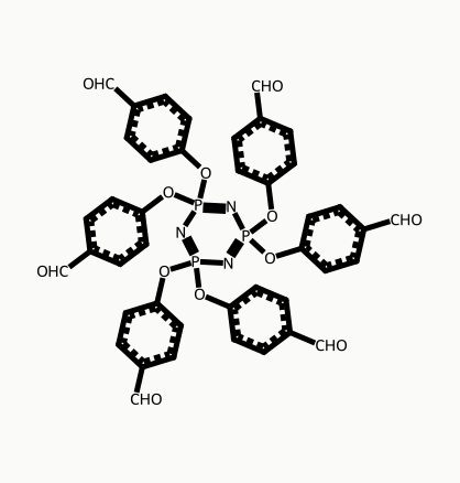 O=Cc1ccc(OP2(Oc3ccc(C=O)cc3)=NP(Oc3ccc(C=O)cc3)(Oc3ccc(C=O)cc3)=NP(Oc3ccc(C=O)cc3)(Oc3ccc(C=O)cc3)=N2)cc1